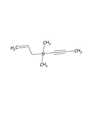 C=CC[Si](C)(C)C#CC